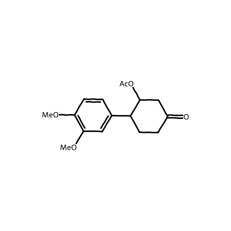 COc1ccc(C2CCC(=O)CC2OC(C)=O)cc1OC